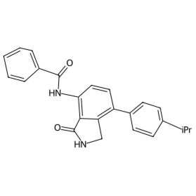 CC(C)c1ccc(-c2ccc(NC(=O)c3ccccc3)c3c2CNC3=O)cc1